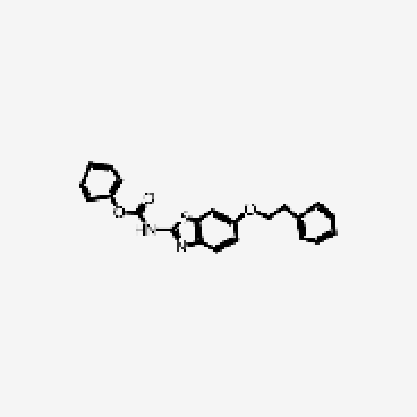 O=C(Nc1nc2ccc(OCCc3ccccc3)cc2s1)Oc1ccccc1